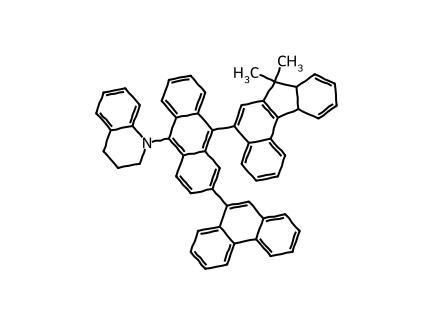 CC1(C)c2cc(-c3c4ccccc4c(N4CCCc5ccccc54)c4ccc(-c5cc6ccccc6c6ccccc56)cc34)c3ccccc3c2C2C=CC=CC21